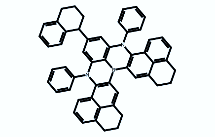 c1ccc(N2c3cc(C4CCCc5ccccc54)cc4c3B(c3cc5c6c(cccc6c32)CCC5)c2cc3c5c(cccc5c2N4c2ccccc2)CCC3)cc1